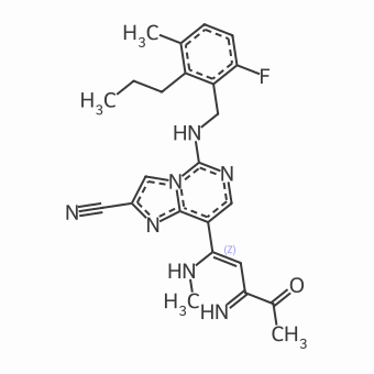 CCCc1c(C)ccc(F)c1CNc1ncc(/C(=C/C(=N)C(C)=O)NC)c2nc(C#N)cn12